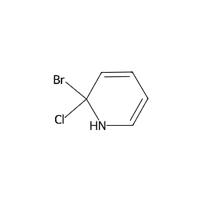 ClC1(Br)C=CC=CN1